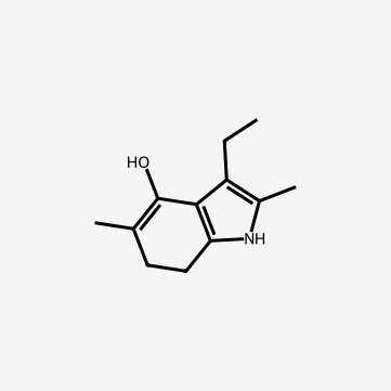 CCc1c(C)[nH]c2c1C(O)=C(C)CC2